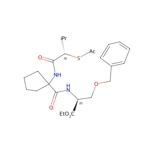 CCOC(=O)[C@H](COCc1ccccc1)NC(=O)C1(NC(=O)[C@@H](SC(C)=O)C(C)C)CCCC1